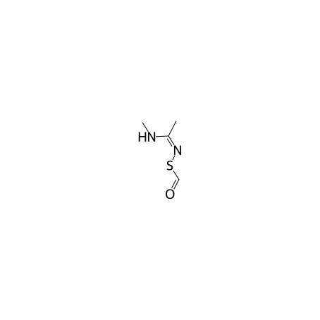 CN/C(C)=N\SC=O